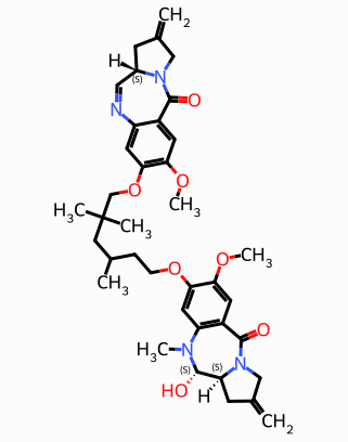 C=C1C[C@H]2C=Nc3cc(OCC(C)(C)CC(C)CCOc4cc5c(cc4OC)C(=O)N4CC(=C)C[C@H]4[C@H](O)N5C)c(OC)cc3C(=O)N2C1